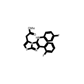 COC(=O)Cc1csc2nc(-c3ccccc3F)c(Nc3ccc(F)cc3)n12